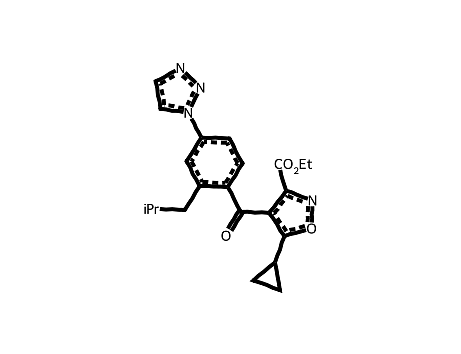 CCOC(=O)c1noc(C2CC2)c1C(=O)c1ccc(-n2ccnn2)cc1CC(C)C